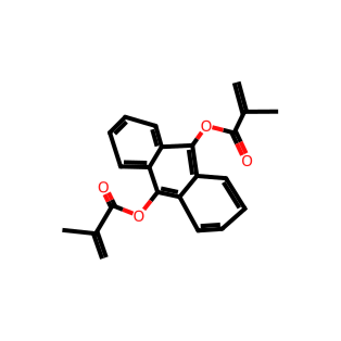 C=C(C)C(=O)Oc1c2ccccc2c(OC(=O)C(=C)C)c2ccccc12